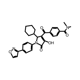 CN(C)C(=O)c1ccc(C(=O)C2=C(O)C(=O)N(c3ccc(-c4ccon4)cc3)C2C2CCCCC2)cc1